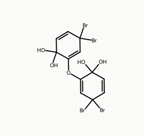 OC1(O)C=CC(Br)(Br)C=C1OC1=CC(Br)(Br)C=CC1(O)O